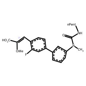 CCCCCNC(=O)N(C)c1cccc(-c2ccc(/C=C(\OC)C(=O)O)c(F)c2)c1